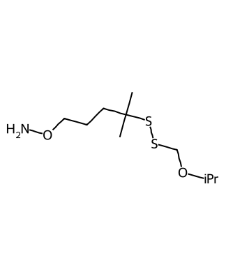 CC(C)OCSSC(C)(C)CCCON